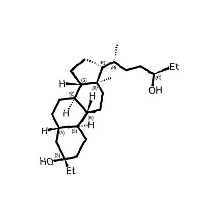 CC[C@@H](O)CC[C@@H](C)[C@H]1CC[C@H]2[C@@H]3CC[C@H]4C[C@](O)(CC)CC[C@@H]4[C@H]3CC[C@]12C